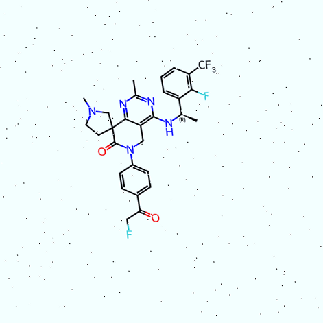 Cc1nc(N[C@H](C)c2cccc(C(F)(F)F)c2F)c2c(n1)C1(CCN(C)C1)C(=O)N(c1ccc(C(=O)CF)cc1)C2